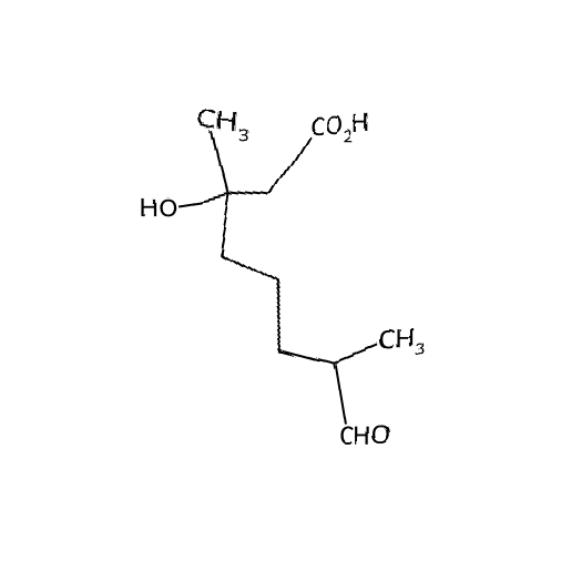 CC(C=O)CCCC(C)(O)CC(=O)O